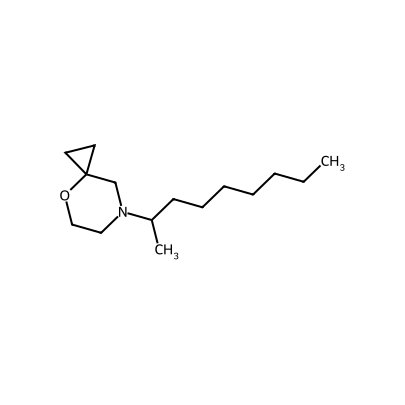 CCCCCCCC(C)N1CCOC2(CC2)C1